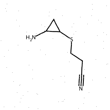 N#CCCSC1C[C]1N